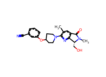 Cc1cc2c(nc1N1CCC(Oc3cccc(C#N)c3)CC1)[C@@H](CO)N(C)C2=O